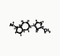 CC(=O)n1ccc2cc(-c3csc(C)n3)ccc21